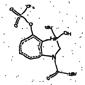 CC(C)(C)C(=O)N1C[PH](O)(C(C)(C)C)c2c(OS(=O)(=O)C(F)(F)F)cccc21